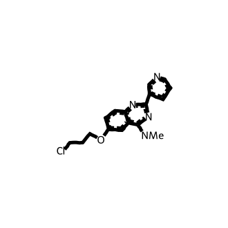 CNc1nc(-c2cccnc2)nc2ccc(OCCCCl)cc12